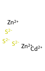 [Cd+2].[S-2].[S-2].[S-2].[Zn+2].[Zn+2]